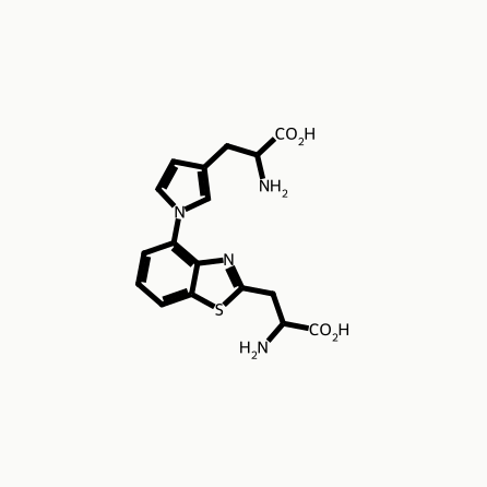 NC(Cc1ccn(-c2cccc3sc(CC(N)C(=O)O)nc23)c1)C(=O)O